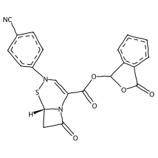 N#Cc1ccc(N2C=C(C(=O)OC3OC(=O)c4ccccc43)N3C(=O)C[C@@H]3S2)cc1